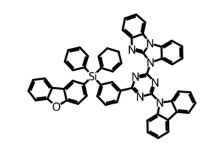 C1=CC([Si](c2ccccc2)(c2cccc(-c3nc(-n4c5ccccc5c5ccccc54)nc(-n4c5ccccc5n5c6ccccc6nc45)n3)c2)c2ccc3oc4ccccc4c3c2)=CCC1